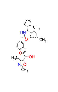 Cc1ccc(C(NC(=O)Cc2ccc3oc(C(O)c4oc(C)nc4C)cc3c2)c2ccccc2)c(C)c1